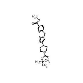 COC(=O)c1ccc(Cn2cc(C3CCN(C(=O)OC(C)(C)C)CC3)nn2)nc1